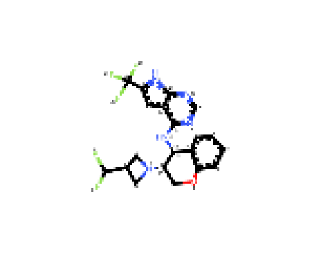 FC(F)C1CN([C@H]2COc3ccccc3[C@@H]2Nc2ncnc3[nH]c(C(F)(F)F)cc23)C1